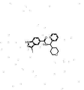 O=C(NC(c1ccccn1)C1CCOCC1)c1ccc2[nH]nc(I)c2c1